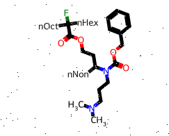 CCCCCCCCCC(CCOC(=O)C(F)(CCCCCC)CCCCCCCC)N(CCCN(C)C)C(=O)OCc1ccccc1